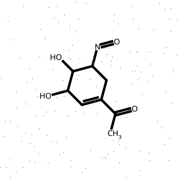 CC(=O)C1=CC(O)C(O)C(N=O)C1